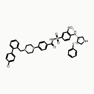 O=C(NS(=O)(=O)c1ccc(N[C@@H]2CNC[C@@H]2Sc2ccccc2)c([N+](=O)[O-])c1)c1ccc(N2CCN(Cc3ccccc3-c3ccc(Cl)cc3)CC2)cc1